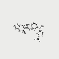 CN(C)[C@H]1CCN(C(=O)c2ccc3[nH]c(-c4nc5cscc5[nH]c4=O)cc3c2)C1